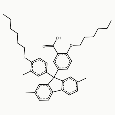 CCCCCCOc1ccc(C2(c3ccc(OCCCCCC)c(C(=O)O)c3)c3cc(C)ccc3-c3ccc(C)cc32)cc1C